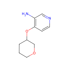 Nc1cnccc1OC1CCCOC1